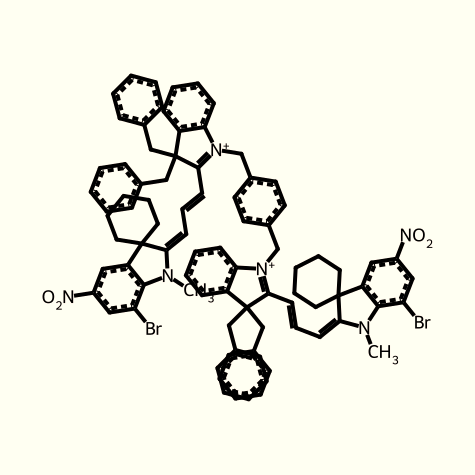 CN1/C(=C/C=C/C2=[N+](Cc3ccc(C[N+]4=C(/C=C/C=C5/N(C)c6c(Br)cc([N+](=O)[O-])cc6C56CCCCC6)C(Cc5ccccc5)(Cc5ccccc5)c5ccccc54)cc3)c3ccccc3C2(Cc2ccccc2)Cc2ccccc2)C2(CCCCC2)c2cc([N+](=O)[O-])cc(Br)c21